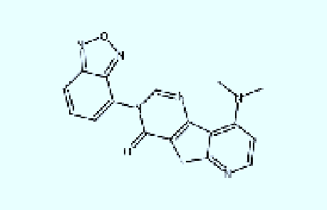 CN(C)c1ccnc2sc3c(=O)n(-c4cccc5nonc45)cnc3c12